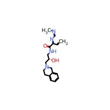 C=C/C(=N\C=N/C)C(=O)NC[C@H](O)CN1CCc2ccccc2C1